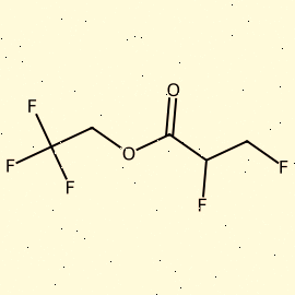 O=C(OCC(F)(F)F)C(F)CF